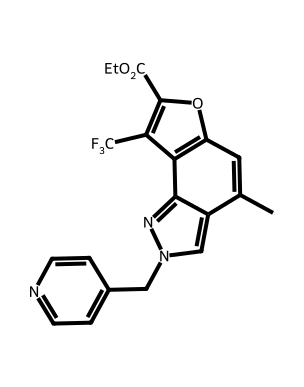 CCOC(=O)c1oc2cc(C)c3cn(Cc4ccncc4)nc3c2c1C(F)(F)F